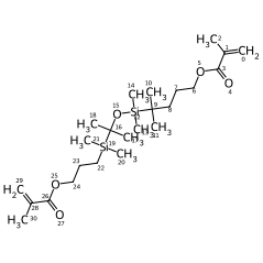 C=C(C)C(=O)OCCCC(C)(C)[Si](C)(C)OC(C)(C)[Si](C)(C)CCCOC(=O)C(=C)C